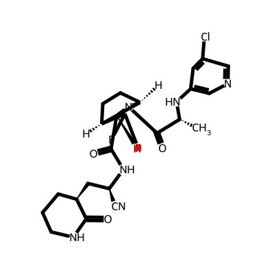 C[C@@H](Nc1cncc(Cl)c1)C(=O)N1[C@@H]2CC[C@H]([C@H]1C(=O)N[C@@H](C#N)C[C@@H]1CCCNC1=O)C(F)(F)C2